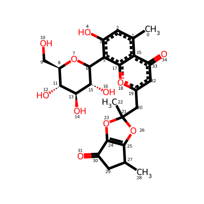 Cc1cc(O)c(C2O[C@H](CO)[C@@H](O)[C@H](O)[C@H]2O)c2oc(CC3(C)OC4=C(O3)C(C)CC4=O)cc(=O)c12